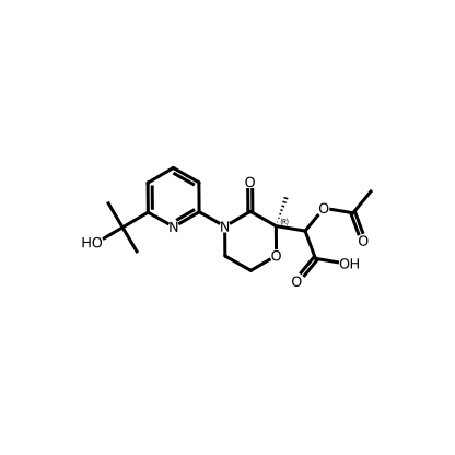 CC(=O)OC(C(=O)O)[C@@]1(C)OCCN(c2cccc(C(C)(C)O)n2)C1=O